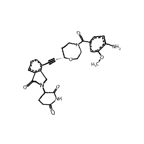 COc1cc(C(=O)N2CCO[C@H](C#Cc3cccc4c3CN(C3CCC(=O)NC3=O)C4=O)CC2)ccc1N